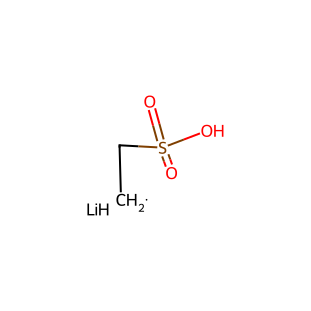 [CH2]CS(=O)(=O)O.[LiH]